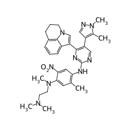 Cc1cc(N(C)CCN(C)C)c([N+](=O)[O-])cc1Nc1ncc(-c2cnn(C)c2C)c(-c2cn3c4c(cccc24)CCC3)n1